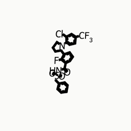 O=C(NS(=O)(=O)Cc1ccccc1)c1cccc(C2CCCN2c2ccc(C(F)(F)F)cc2Cl)c1F